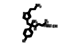 CCCNC(C)(Cn1cnc(CCN)c1)c1ccc(Cl)cc1.Cl.Cl.Cl